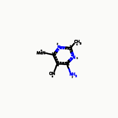 CNc1nc(C)nc(N)c1N=O